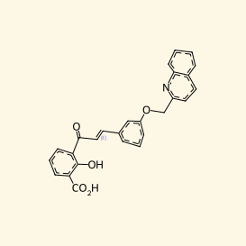 O=C(O)c1cccc(C(=O)/C=C/c2cccc(OCc3ccc4ccccc4n3)c2)c1O